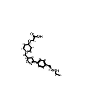 CCNN=Cc1ccc(C2=NOC(CN3CCC(OCC(=O)O)CC3)C2)cc1